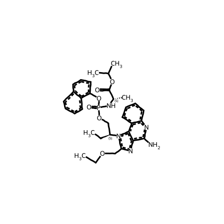 CCOCc1nc2c(N)nc3ccccc3c2n1[C@@H](CC)COP(=O)(N[C@@H](C)C(=O)OC(C)C)Oc1cccc2ccccc12